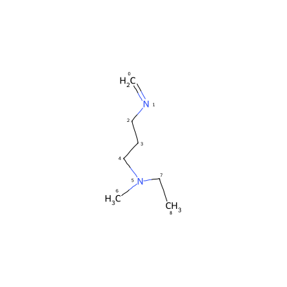 C=NCCCN(C)CC